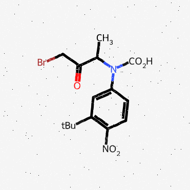 CC(C(=O)CBr)N(C(=O)O)c1ccc([N+](=O)[O-])c(C(C)(C)C)c1